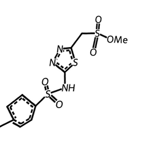 COS(=O)(=O)Cc1nnc(NS(=O)(=O)c2ccc(N)cc2)s1